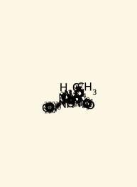 CC1(C)CCc2c(N3CCOCC3)nc3oc4c(NCCN5CCOCC5)ncnc4c3c2C1